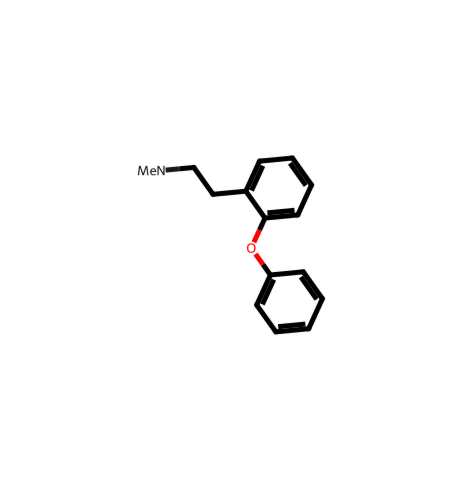 CNCCc1ccccc1Oc1ccccc1